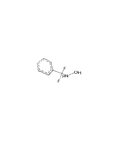 ONC(F)(F)c1ccccc1